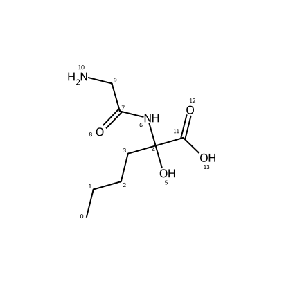 CCCCC(O)(NC(=O)CN)C(=O)O